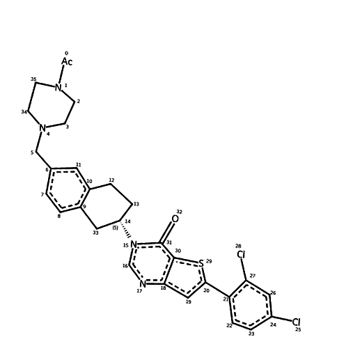 CC(=O)N1CCN(Cc2ccc3c(c2)CC[C@H](n2cnc4cc(-c5ccc(Cl)cc5Cl)sc4c2=O)C3)CC1